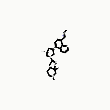 C/N=C/c1ccc([C@H]2C[C@@H](C)CN(C(=O)C[C@H]3CCN(C)CC3(F)F)C2)c2cccnc12